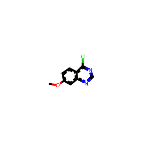 COc1[c]cc2c(Cl)ncnc2c1